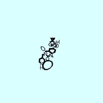 Cn1c(=O)n(CC2CCNC3(CCCCCCCCCC3)C2)c(=O)c2cc(S(=O)(=O)NC3(C)CC3)ccc21